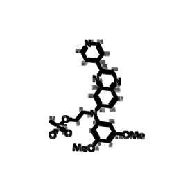 COc1cc(OC)cc(N(CCOS(C)(=O)=O)c2ccc3ncc(-c4ccncc4)nc3c2)c1